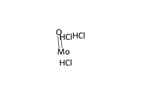 Cl.Cl.Cl.[O]=[Mo]